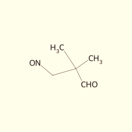 CC(C)(C=O)CN=O